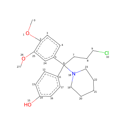 COc1ccc(C(CCCCl)(c2ccc(O)cc2)N2CCCCC2)cc1OC